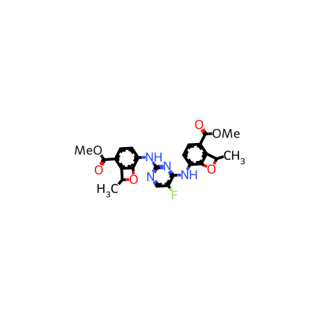 COC(=O)c1ccc(Nc2ncc(F)c(Nc3ccc(C(=O)OC)c4c3OC4C)n2)c2c1C(C)O2